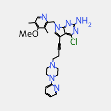 COc1c(C)cnc(Cn2cc(C#CCCN3CCN(c4ccccn4)CC3)c3c(Cl)nc(N)nc32)c1C